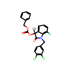 N#CC1(OC(=O)OCc2ccccc2)C(=O)N(Cc2ccc(Cl)c(Cl)c2)c2c(F)cccc21